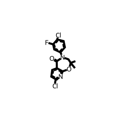 CC1(C)CN(c2ccc(Cl)c(F)c2)C(=O)c2ccc(Cl)nc2O1